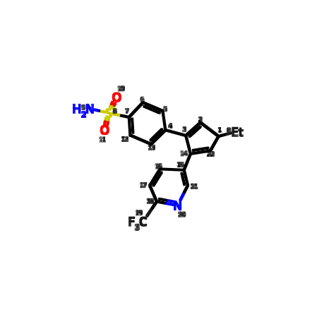 CCC1C=C(c2ccc(S(N)(=O)=O)cc2)C(c2ccc(C(F)(F)F)nc2)=C1